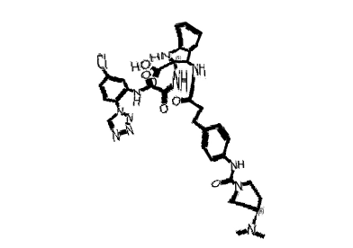 CN(C)[C@@H]1CCN(C(=O)Nc2ccc(CCC(=O)NC3c4ccccc4N[C@@]3(NC(=O)C(=O)Nc3cc(Cl)ccc3-n3cnnn3)C(=O)O)cc2)C1